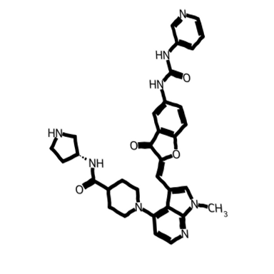 Cn1cc(/C=C2\Oc3ccc(NC(=O)Nc4cccnc4)cc3C2=O)c2c(N3CCC(C(=O)N[C@@H]4CCNC4)CC3)ccnc21